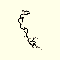 Cc1nc(N)c(F)cc1CNC(=O)c1ccnc(Cc2ccc(Cn3ccccc3=O)cc2)c1